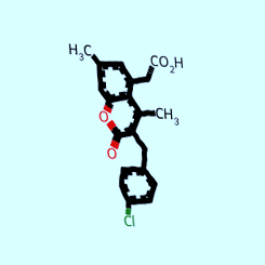 Cc1cc(CC(=O)O)c2c(C)c(Cc3ccc(Cl)cc3)c(=O)oc2c1